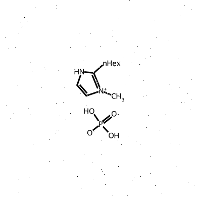 CCCCCCc1[nH]cc[n+]1C.O=P([O-])(O)O